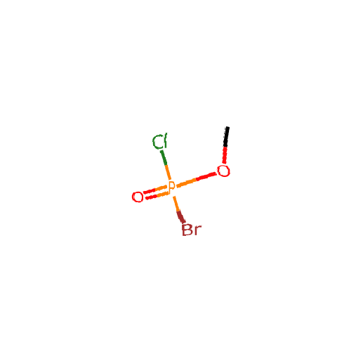 COP(=O)(Cl)Br